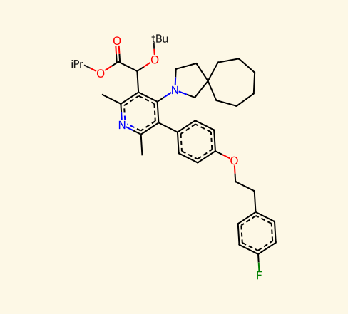 Cc1nc(C)c(C(OC(C)(C)C)C(=O)OC(C)C)c(N2CCC3(CCCCCC3)C2)c1-c1ccc(OCCc2ccc(F)cc2)cc1